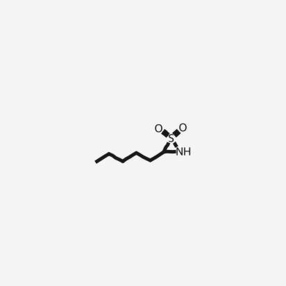 CCCCCC1NS1(=O)=O